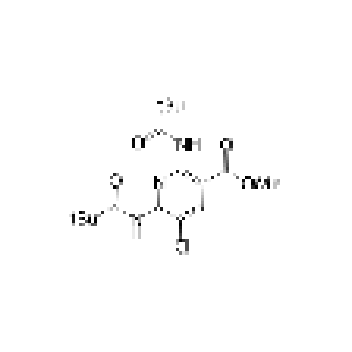 COC(=O)c1cc(Cl)c(NC(=O)C(C)(C)C)nc1NC(=O)C(C)(C)C